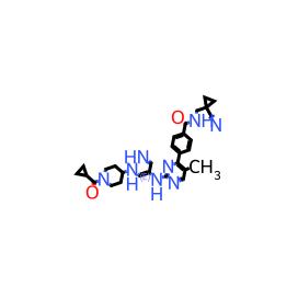 Cc1cnc(N/C(C=N)=C/NC2CCN(C(=O)C3CC3)CC2)nc1-c1ccc(C(=O)NCC2(C#N)CC2)cc1